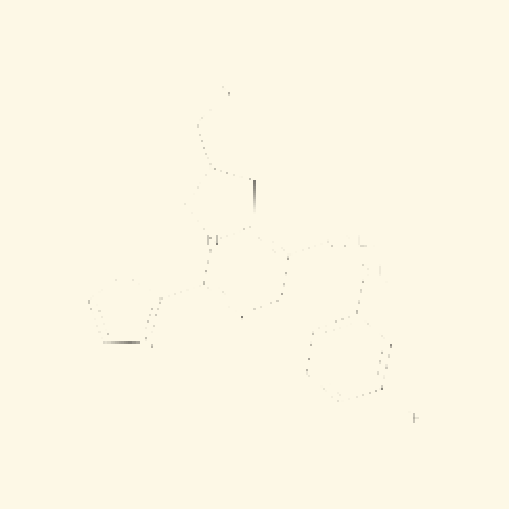 Bc1cc(F)ccc1[C@@H]1N=C(c2nccs2)N2CC(CN)CC2=C1C(=O)OCC